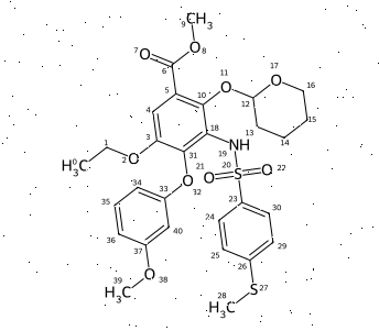 CCOc1cc(C(=O)OC)c(OC2CCCCO2)c(NS(=O)(=O)c2ccc(SC)cc2)c1Oc1cccc(OC)c1